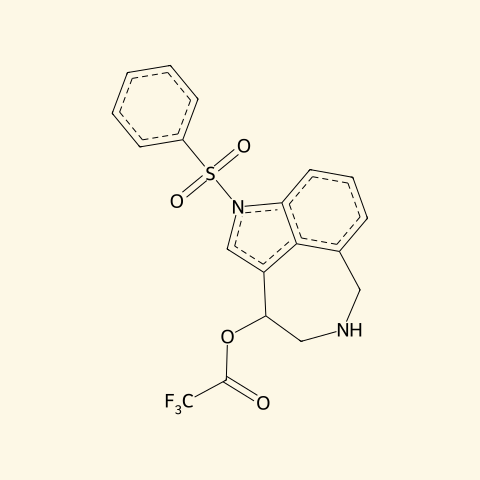 O=C(OC1CNCc2cccc3c2c1cn3S(=O)(=O)c1ccccc1)C(F)(F)F